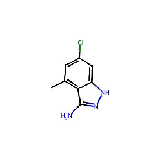 Cc1cc(Cl)cc2[nH]nc(N)c12